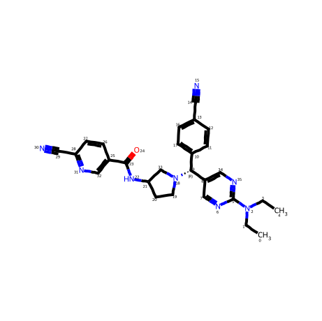 CCN(CC)c1ncc([C@@H](c2ccc(C#N)cc2)N2CCC(NC(=O)c3ccc(C#N)nc3)C2)cn1